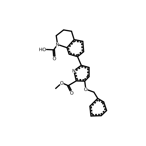 COC(=O)c1nc(-c2ccc3c(c2)N(C(=O)O)CCC3)ccc1OCc1ccccc1